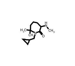 CNC1CCCC(C)(C)N(CC2CC2)C1=O